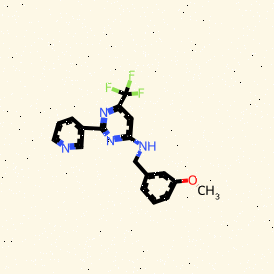 COc1cccc(CNc2cc(C(F)(F)F)nc(-c3cccnc3)n2)c1